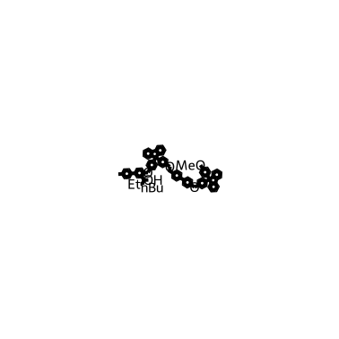 CCCCC(CC)C(O)c1cc(-c2ccc(C)cc2)ccc1Oc1ccc(C2(c3ccc(OCc4ccc(-c5ccc(Oc6ccc(C7(c8ccc(OC)cc8)c8ccccc8-c8ccccc87)cc6)cc5)cc4)cc3)c3ccccc3-c3ccccc32)cc1